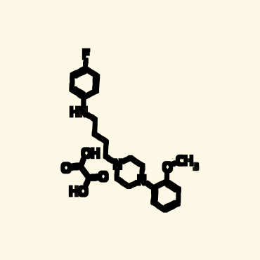 COc1ccccc1N1CCN(CCCCNc2ccc(F)cc2)CC1.O=C(O)C(=O)O